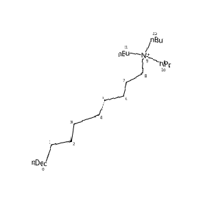 CCCCCCCCCCCCCCCCCC[N+](CCC)(CCCC)CCCC